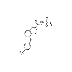 C=CS(=O)(=O)NCC(=O)N1CCc2c(cccc2Oc2ccc(C(F)(F)F)cc2)C1